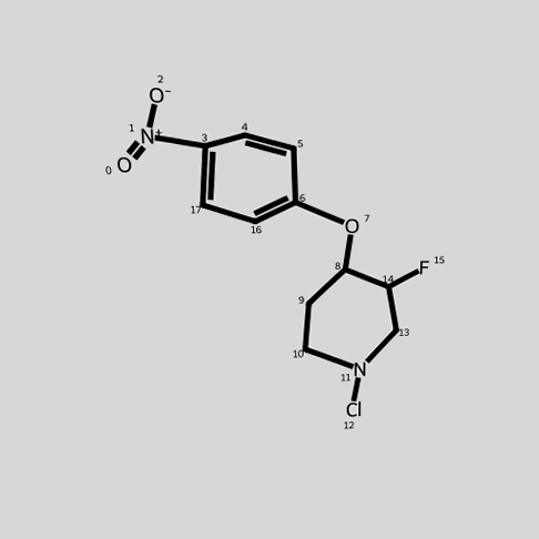 O=[N+]([O-])c1ccc(OC2CCN(Cl)CC2F)cc1